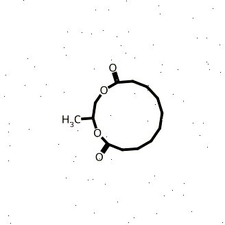 CC1COC(=O)CCCCCCCCC(=O)O1